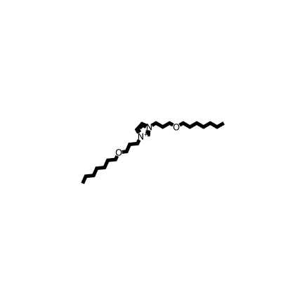 CCCCCCCOCCCn1cc[n+](CCCOCCCCCCC)c1